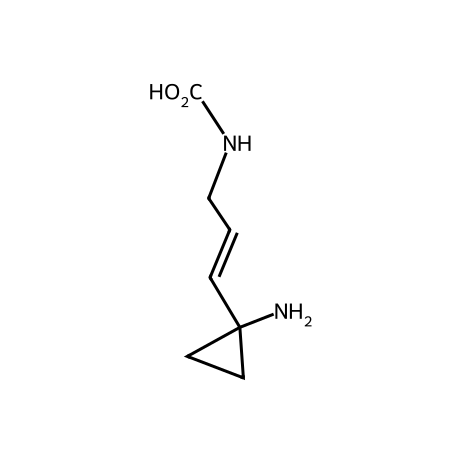 NC1(/C=C/CNC(=O)O)CC1